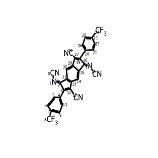 N#C/N=c1/c(-c2ccc(C(F)(F)F)cc2)c(C#N)c2cc3/c(=N\C#N)c(-c4ccc(C(F)(F)F)cc4)c(C#N)c3cc12